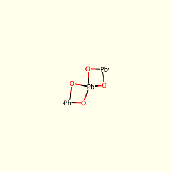 [O]1[Pb][O][Pb]12[O][Pb][O]2